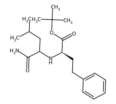 CC(C)CC(N[C@H](CCc1ccccc1)C(=O)OC(C)(C)C)C(N)=O